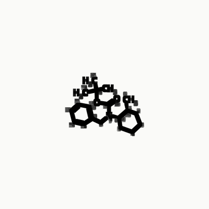 C[C@H]1CCCC[C@H]1N(Cc1ccccc1)C(=O)OC(C)(C)C